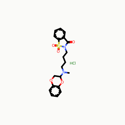 CN(CCCCN1C(=O)c2ccccc2S1(=O)=O)C1COc2ccccc2O1.Cl